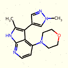 Cc1[nH]c2nccc(N3CCOCC3)c2c1-c1cnn(C)c1